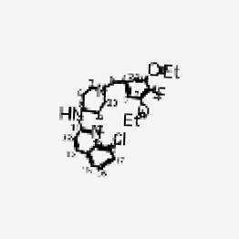 CCOc1cc(CN2CCC(Nc3ccc4cccc(Cl)c4n3)CC2)cc(OCC)c1F